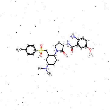 Cc1ccc(S(=O)(=O)C[C@@H]2C[C@H](N(C)C(C)C)CC[C@@H]2N2CC[C@H](NC(=O)c3cc(OC(F)(F)F)ccc3N)C2=O)cc1